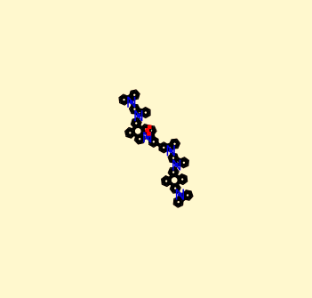 c1ccc2c(c1)-c1ccc(-n3c4ccccc4c4ccccc43)cc1-c1ccccc1-c1cc(-n3c4ccccc4c4cc(-n5c6ccccc6c6cc(-c7ccc8c(c7)c7ccccc7n8-c7cccc8c7-c7ccccc7-c7cc(-n9c%10ccccc%10c%10cc(-n%11c%12ccccc%12c%12ccccc%12%11)ccc%109)ccc7-c7ccccc7-8)ccc65)ccc43)ccc1-2